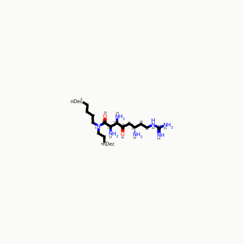 CCCCCCCCCCCCCCN(CCCCCCCCCCCC)C(=O)C(N)C(N)C(=O)C[C@@H](N)CCNC(=N)N